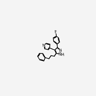 Fc1ccc(-c2n[nH]c(CCCc3ccccc3)c2-c2ccncc2)cc1